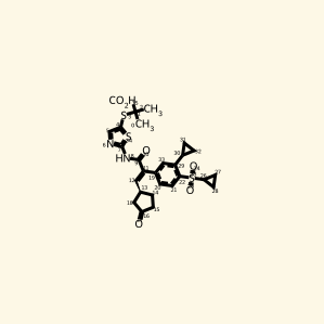 CC(C)(Sc1cnc(NC(=O)/C(=C/[C@H]2CCC(=O)C2)c2ccc(S(=O)(=O)C3CC3)c(C3CC3)c2)s1)C(=O)O